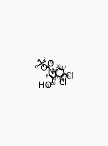 CC(C)(C)OC(=O)n1cc(CO)c2c(Cl)c(Cl)ccc21